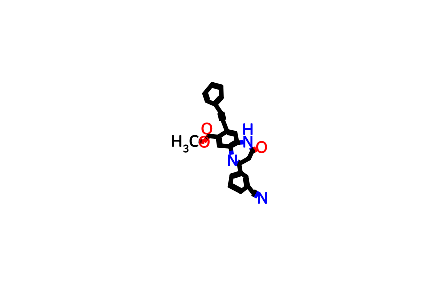 COC(=O)c1cc2c(cc1C#Cc1ccccc1)NC(=O)CC(c1cccc(C#N)c1)=N2